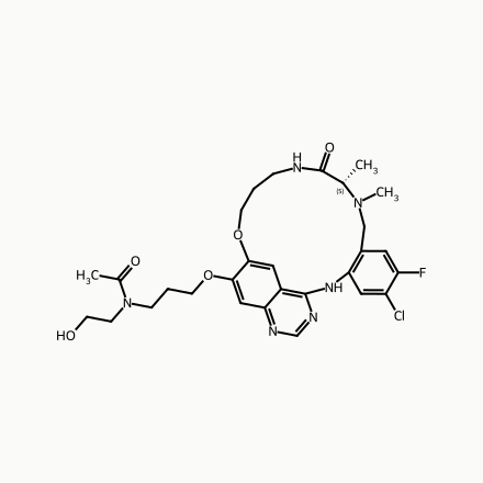 CC(=O)N(CCO)CCCOc1cc2ncnc3c2cc1OCCCNC(=O)[C@H](C)N(C)Cc1cc(F)c(Cl)cc1N3